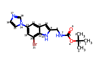 CC(C)(C)OC(=O)NCc1cc2cc(-n3ccnc3)cc(Br)c2[nH]1